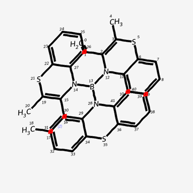 C=CC1=C(C)Sc2ccccc2N1B(N1C(/C=C\C)=C(C)Sc2ccccc21)N1c2ccccc2Sc2ccccc21